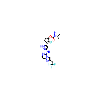 CC(C)NC(=O)O[C@H]1CC[C@@H](c2cc(Nc3nccc4nc(CC(F)(F)F)cn34)n[nH]2)[C@H]1F